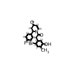 Cc1cc(Br)c(CC(=O)N2C=CC(=O)CC2c2ccc(F)cc2)cc1O